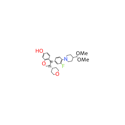 COC(OC)C1CCN(c2ccc([C@H]3c4ccc(O)cc4OC[C@H]3C3CCOCC3)cc2F)CC1